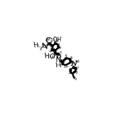 Cc1ccc(N(C)C2CCC(NCC(O)c3ccc(O)c(C(N)=O)c3)CC2)cc1